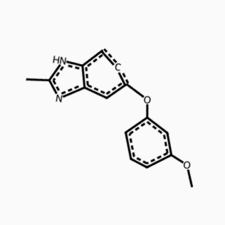 COc1cccc(Oc2ccc3[nH]c(C)nc3c2)c1